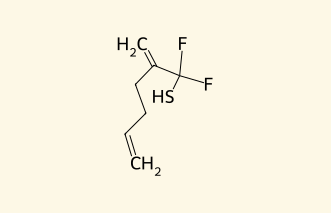 C=CCCC(=C)C(F)(F)S